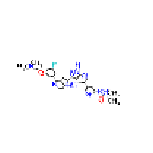 CC(C)C(=O)Nc1cncc(-c2cnc3[nH]nc(-c4cc5c(-c6cc(F)cc(OCCN(C)C)c6)nccc5[nH]4)c3c2)c1